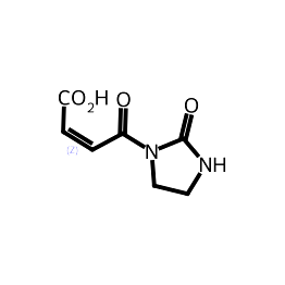 O=C(O)/C=C\C(=O)N1CCNC1=O